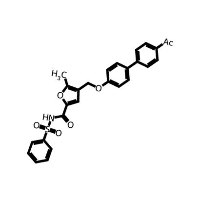 CC(=O)c1ccc(-c2ccc(OCc3cc(C(=O)NS(=O)(=O)c4ccccc4)oc3C)cc2)cc1